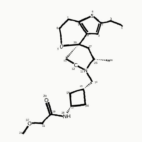 CCc1cc2c(s1)CCO[C@@]21CCN(C[C@H]2C[C@@H](NC(=O)COC)C2)[C@@H](C)C1